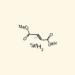 COC(=O)/C=C/C(=O)OC.[SrH2]